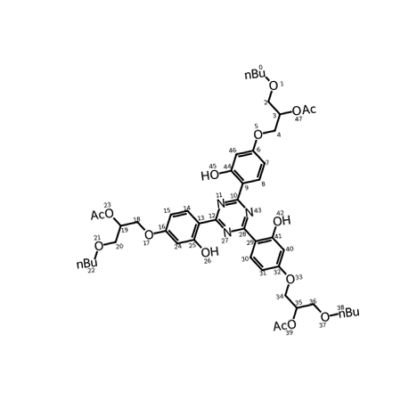 CCCCOCC(COc1ccc(-c2nc(-c3ccc(OCC(COCCCC)OC(C)=O)cc3O)nc(-c3ccc(OCC(COCCCC)OC(C)=O)cc3O)n2)c(O)c1)OC(C)=O